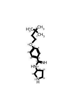 CC(C)(C)CCOc1ccc(C(=N)NC2CCNC2)cc1